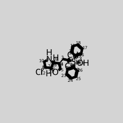 CC(C)(C[C@H]1CO[C@H]2[C@@H]1NC[C@H]2Cl)[Si](O)(c1ccccc1)c1ccccc1